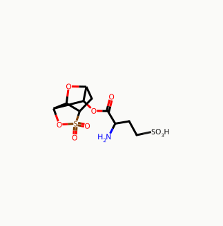 NC(CCS(=O)(=O)O)C(=O)OC1C2CC3C(O2)C1OS3(=O)=O